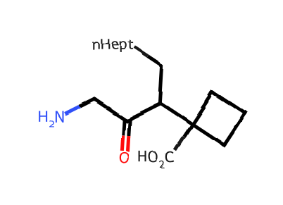 CCCCCCCCC(C(=O)CN)C1(C(=O)O)CCC1